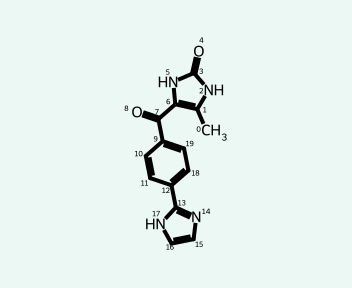 Cc1[nH]c(=O)[nH]c1C(=O)c1ccc(-c2ncc[nH]2)cc1